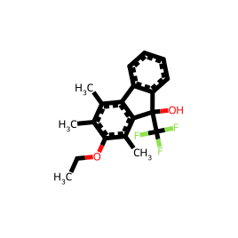 CCOc1c(C)c(C)c2c(c1C)C(O)(C(F)(F)F)c1ccccc1-2